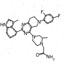 Cc1c[nH]c2cccc(-c3nc4c(c(N5CCN(CC(N)=O)C(C)C5)n3)CN(c3ccc(F)cc3F)CC4)c12